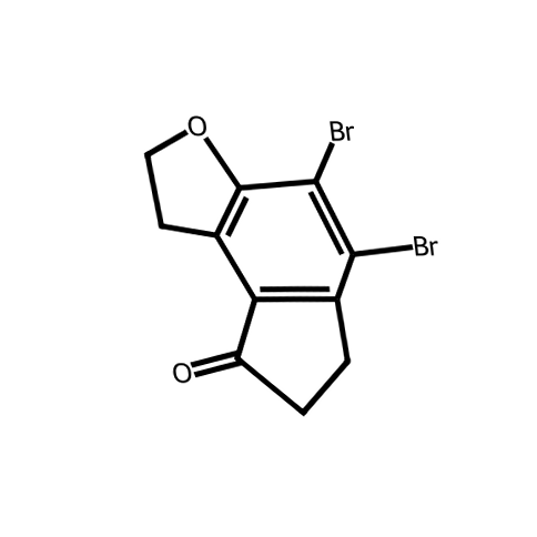 O=C1CCc2c(Br)c(Br)c3c(c21)CCO3